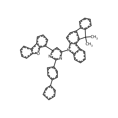 CC1(C)c2ccccc2-c2ccc3c(c21)c1ccccc1n3-c1cc(-c2cccc3c2oc2ccccc23)nc(-c2ccc(-c3ccccc3)cc2)n1